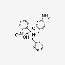 Nc1ccc(CN(Cc2ccccn2)S(=O)(=O)c2ccccc2[N+](=O)O)cc1